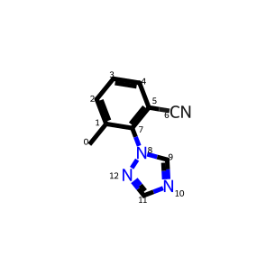 Cc1cccc(C#N)c1-n1cncn1